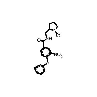 CCN1CCCC1CNC(=O)c1ccc(Sc2ccccc2)c([N+](=O)[O-])c1